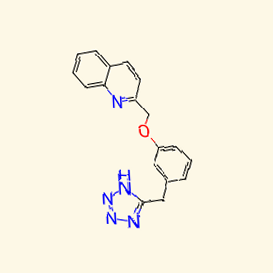 c1cc(Cc2nnn[nH]2)cc(OCc2ccc3ccccc3n2)c1